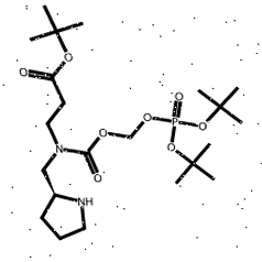 CC(C)(C)OC(=O)CCN(C[C@@H]1CCCN1)C(=O)OCOP(=O)(OC(C)(C)C)OC(C)(C)C